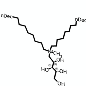 CCCCCCCCCCCCCCCCCC[N+](C)(CCCCCCCCCCCCCCCCCC)C[C@@H](O)[C@H](O)[C@H](O)CO